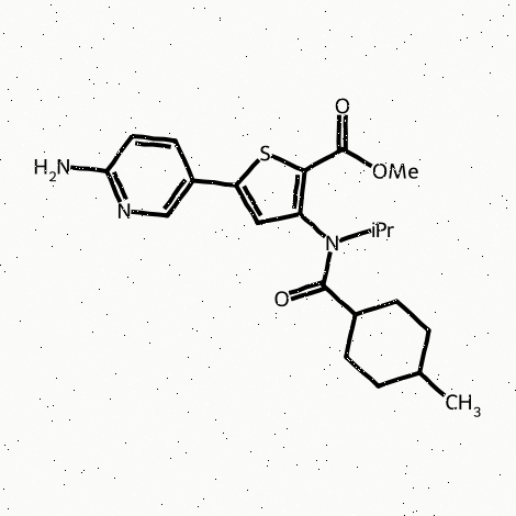 COC(=O)c1sc(-c2ccc(N)nc2)cc1N(C(=O)C1CCC(C)CC1)C(C)C